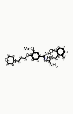 COc1cc(/C(N)=N/C(N)NCc2c(F)cccc2Cl)ccc1OCCCN1CCOCC1